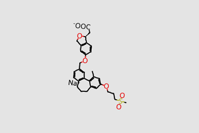 Cc1cc(OCCCS(C)(=O)=O)cc2c1-c1cc(COc3ccc4c(c3)CO[C@H]4CC(=O)[O-])ccc1CCC2.[Na+]